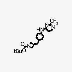 CC(C)(C)OC(=O)N1CC(=Cc2ccc(Nc3ccnc(C(F)(F)F)n3)cc2)C1